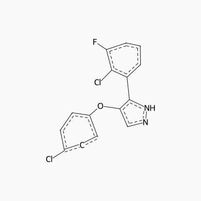 Fc1cccc(-c2[nH]ncc2Oc2ccc(Cl)cc2)c1Cl